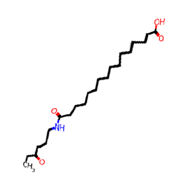 CCC(=O)CCCNC(=O)CCCCCCCCCCCCCCC(=O)O